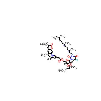 CCOC(=O)CC[C@@]1(C)O[C@@H]2[C@H](O1)[C@@H](COC(=O)CCCN1c3cc4oc(=O)c(C(=O)OCC)cc4cc3C(C)CC1(C)C)O[C@H]2n1cc(F)c(=O)n(C/C=C(\C)CC/C=C(\C)CCC=C(C)C)c1=O